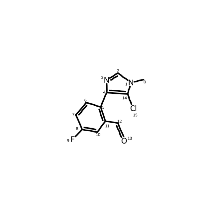 Cn1cnc(-c2ccc(F)cc2C=O)c1Cl